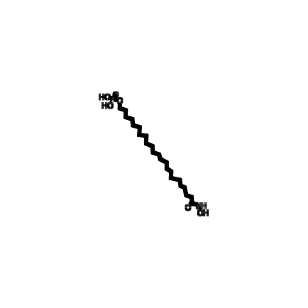 O=C(CCCCCCCCCCCCCCCCCCCCCCOP(=O)(O)O)NO